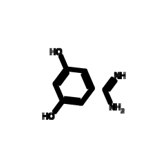 N=CN.Oc1cccc(O)c1